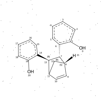 Oc1ccccc1[C@@H]1[C@@H]2C=CC(C2)[C@H]1c1ccccc1O